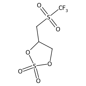 O=S1(=O)OCC(CS(=O)(=O)C(F)(F)F)O1